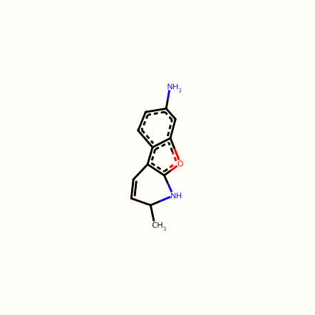 CC1C=Cc2c(oc3cc(N)ccc23)N1